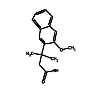 COc1cc2ccccc2cc1C(C)(C)CC(=O)S